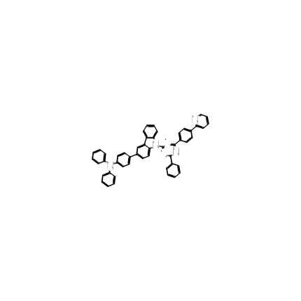 c1ccc(-c2nc(-c3ccc(-c4ccccn4)cc3)nc(-n3c4ccccc4c4cc(-c5ccc(N(c6ccccc6)c6ccccc6)cc5)ccc43)n2)cc1